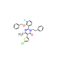 Cc1nc(-c2cccc(F)c2OCc2ccccc2)n(CCc2ccccc2)c(=O)c1-c1ccc(Cl)s1